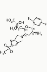 CS(=O)(=O)n1cc2c(n1)CN([C@@H]1C[C@H](N)[C@@H](c3cc(F)ccc3F)O[C@@H]1C(F)(F)F)C2.C[C@@H](O)C(=O)O